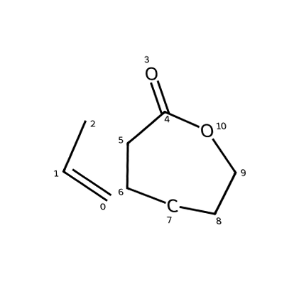 C=CC.O=C1CCCCCO1